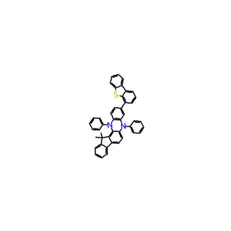 CC1(C)c2ccccc2-c2ccc3c(c21)N(c1ccccc1)c1ccc(-c2cccc4c2sc2ccccc24)cc1N3c1ccccc1